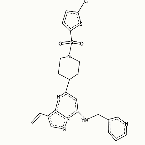 C=Cc1cnn2c(NCc3cccnc3)cc(C3CCN(S(=O)(=O)c4ccc(Cl)s4)CC3)nc12